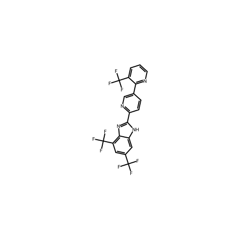 FC(F)(F)c1cc(C(F)(F)F)c2nc(-c3ccc(-c4ncccc4C(F)(F)F)cn3)[nH]c2c1